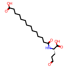 O=CCC[C@H](NC(=O)CCCCCCCCCCCCC(=O)O)C(=O)O